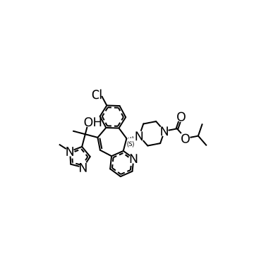 CC(C)OC(=O)N1CCN([C@H]2c3ccc(Cl)cc3C(C(C)(O)c3cncn3C)=Cc3cccnc32)CC1